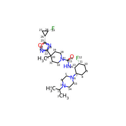 CC(C)N1CCN([C@@H]2CCC[C@@H](F)[C@H]2NC(=O)N2CCC(C)(c3noc([C@@H]4C[C@@H]4F)n3)CC2)CC1